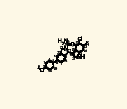 COc1ccc(-c2ccc3c(c2)CN(C(N)=O)C3c2c[nH]c3cc(F)c(Cl)cc23)cc1